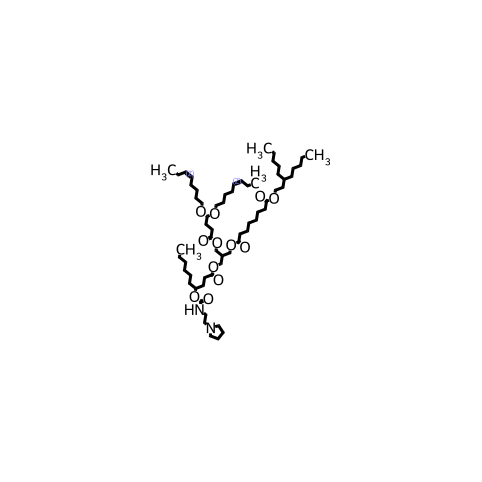 CC/C=C\CCCCOC(CCC(=O)OCC(COC(=O)CCCCCCC(=O)OCCC(CCCCC)CCCCC)COC(=O)CCC(CCCCCC)OC(=O)NCCN1CCCC1)OCCCC/C=C\CC